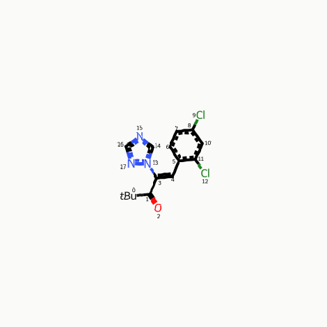 CC(C)(C)C(=O)C(=Cc1ccc(Cl)cc1Cl)n1cncn1